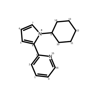 c1ccc(-c2cccn2C2CCCCC2)nc1